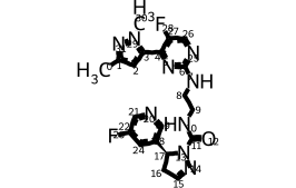 Cc1cc(-c2nc(NCCNC(=O)N3N=CC[C@H]3c3cncc(F)c3)ncc2F)n(C)n1